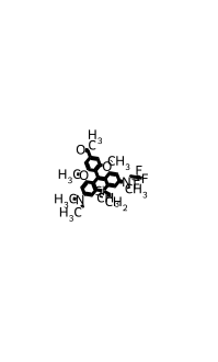 C=C[Si]1(C)C2=C/C(=[N+](\C)CC(F)(F)F)C=CC2=C(c2c(OC)cc(C(C)=O)cc2OC)c2ccc(N(C)CC)cc21